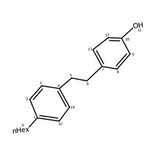 CCCCCCc1ccc(CCc2ccc(O)cc2)cc1